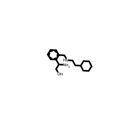 NC(CO)c1ccccc1CNCCC1CCCCC1